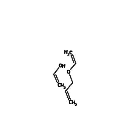 C=CCOC=C.C=CO